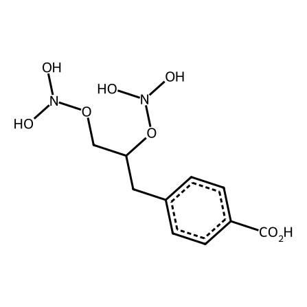 O=C(O)c1ccc(CC(CON(O)O)ON(O)O)cc1